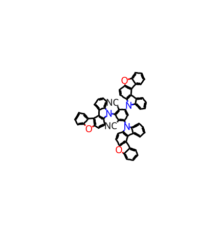 N#Cc1c(-n2c3ccccc3c3c4c(ccc32)oc2ccccc24)cc(-n2c3ccccc3c3c4c(ccc32)oc2ccccc24)c(C#N)c1-n1c2ccccc2c2c3c(ccc21)oc1ccccc13